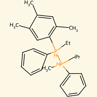 CC[PH](c1ccccc1)(c1cc(C)c(C)cc1C)[PH](C)(c1ccccc1)C(C)C